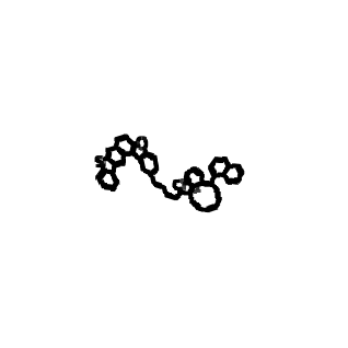 C=C(/C=C\C=C\C1C=c2c(oc3ccc4cc5sc6ccccc6c5cc4c23)=CC1)c1ccccccc(C2=CC=CC3C=CC=CC23)c2ccccc12